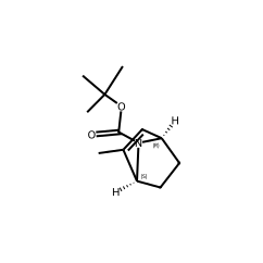 CC1=C[C@H]2CC[C@@H]1N2C(=O)OC(C)(C)C